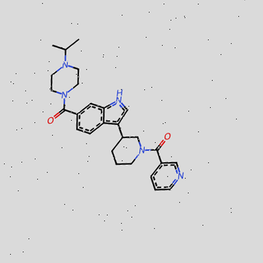 CC(C)N1CCN(C(=O)c2ccc3c(C4CCCN(C(=O)c5cccnc5)C4)c[nH]c3c2)CC1